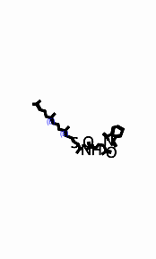 C=c1c2ccccc2c(=C)n1C(CCC(=O)NC(C)CSC/C=C(\C)CC/C=C(\C)CCC=C(C)C)C(C)=O